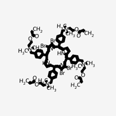 C=CC(=O)OCC[N+](C)(C)Cc1ccc(-c2c3nc(c(-c4ccc(C[N+](C)(C)CCOC(=O)C=C)cc4)c4ccc([nH]4)c(-c4ccc(C[N+](C)(C)CCOC(=O)C=C)cc4)c4nc(c(-c5ccc(C[N+](C)(C)CCOC(=O)C=C)cc5)c5ccc2[nH]5)C(Br)=C4Br)C(Br)=C3Br)cc1